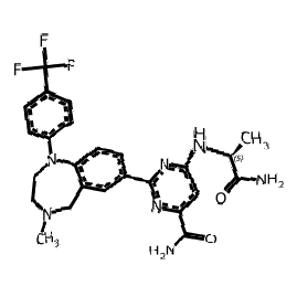 C[C@H](Nc1cc(C(N)=O)nc(-c2ccc3c(c2)CN(C)CCN3c2ccc(C(F)(F)F)cc2)n1)C(N)=O